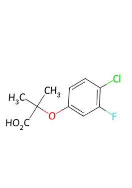 CC(C)(Oc1ccc(Cl)c(F)c1)C(=O)O